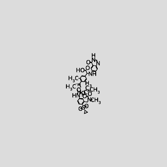 CC[C@@H](COC(=O)Nc1ccc(S(=O)(=O)C2CC2)c(CN(C)C(=O)OC(C)(C)C)c1)c1ccc(C(Nc2ccc3nc[nH]c(=O)c3c2)C(=O)O)cc1C